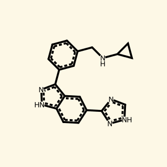 c1cc(CNC2CC2)cc(-c2n[nH]c3ccc(-c4nc[nH]n4)cc23)c1